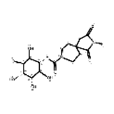 CCN1C(=O)CC2(CCN(C(=O)O[C@H]3C(O)C(O)[C@@H](O)[C@@H](O)C3O)CC2)C1=O